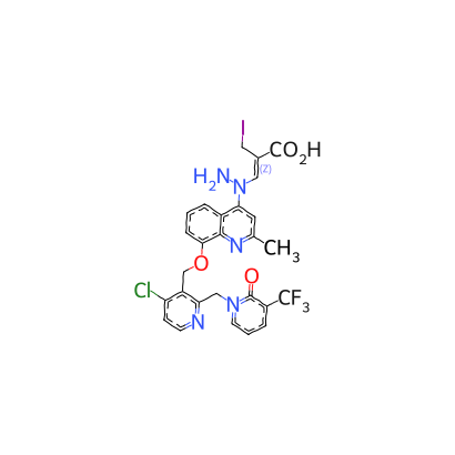 Cc1cc(N(N)/C=C(\CI)C(=O)O)c2cccc(OCc3c(Cl)ccnc3Cn3cccc(C(F)(F)F)c3=O)c2n1